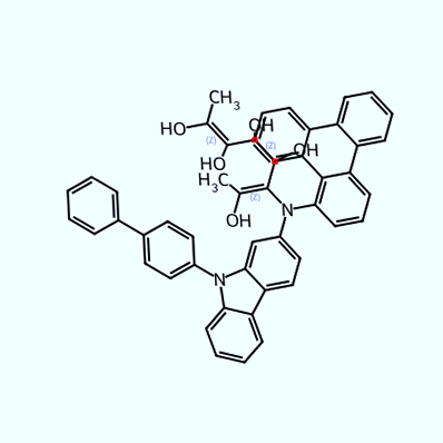 C\C(O)=C(O)/C(O)=C(O)\C(=C(/C)O)N(c1ccc2c3ccccc3n(-c3ccc(-c4ccccc4)cc3)c2c1)c1cccc2c3ccccc3c3ccccc3c12